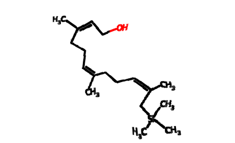 CC(=CCO)CCC=C(C)CCC=C(C)C[Si](C)(C)C